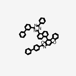 c1ccc(-c2ccc(-c3nc4cc5oc6ccccc6c5c(-c5cccc6c(-c7nc(-c8ccccc8)nc(-c8cccc(-c9ccccc9)c8)n7)cccc56)c4o3)cc2)cc1